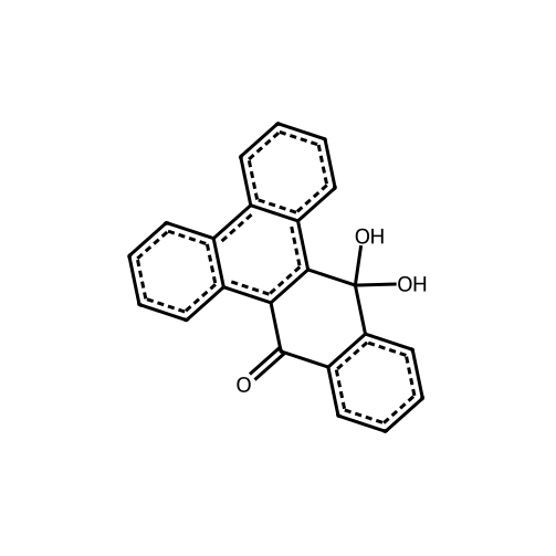 O=C1c2ccccc2C(O)(O)c2c1c1ccccc1c1ccccc21